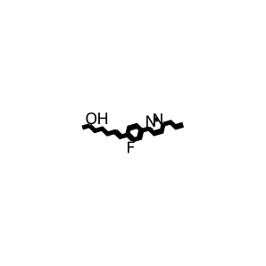 C=CCc1ccc(-c2ccc(/C=C/CCCC(C)O)c(F)c2)nn1